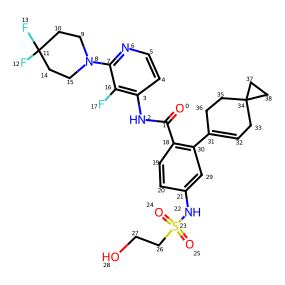 O=C(Nc1ccnc(N2CCC(F)(F)CC2)c1F)c1ccc(NS(=O)(=O)CCO)cc1C1=CCC2(CC1)CC2